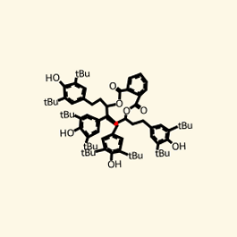 CC(C)(C)c1cc(CCC(CCc2cc(C(C)(C)C)c(O)c(C(C)(C)C)c2)OC(=O)c2ccccc2C(=O)OC(CCc2cc(C(C)(C)C)c(O)c(C(C)(C)C)c2)CCc2cc(C(C)(C)C)c(O)c(C(C)(C)C)c2)cc(C(C)(C)C)c1O